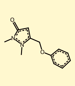 Cn1c(COc2ccccc2)cc(=O)n1C